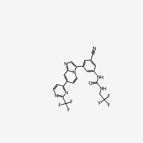 N#Cc1cc(NC(=O)NCC(F)(F)F)cc(-c2cnc3cc(-c4ccnc(C(F)(F)F)n4)ccn23)c1